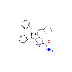 NC(=O)C12CC3C(C=N1)C(C2)C(Cc1ccccc1)(Cc1ccccc1)N3CC1CCCCC1